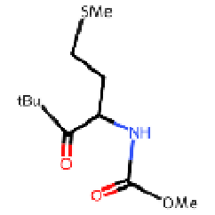 COC(=O)NC(CCSC)C(=O)C(C)(C)C